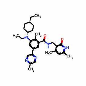 CCN(c1cc(-c2cnc(C)cn2)cc(C(=O)NCc2c(C)cc(C)[nH]c2=O)c1C)[C@H]1CC[C@H](CC)CC1